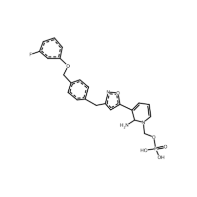 NC1C(c2cc(Cc3ccc(COc4cccc(F)c4)cc3)no2)=CC=CN1COP(=O)(O)O